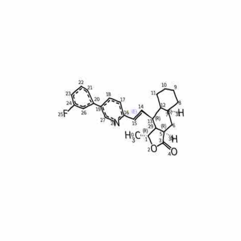 C[C@H]1OC(=O)[C@@H]2C[C@@H]3CCCCC3[C@H](/C=C/c3ccc(-c4cccc(F)c4)cn3)C12